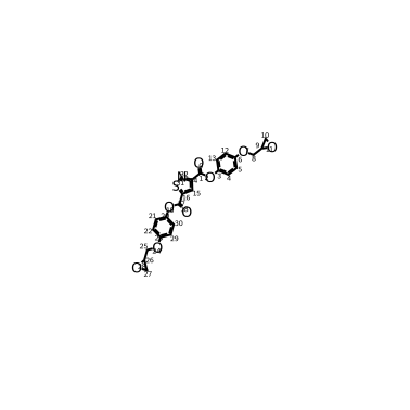 O=C(Oc1ccc(OCC2CO2)cc1)c1cc(C(=O)Oc2ccc(OCC3CO3)cc2)sn1